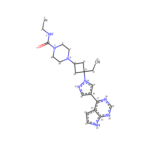 CC(C)CNC(=O)N1CCN(C2CC(CC#N)(n3cc(-c4ncnc5[nH]ccc45)cn3)C2)CC1